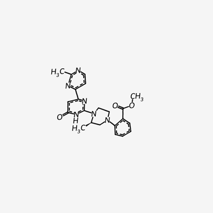 COC(=O)c1ccccc1N1CCN(c2nc(-c3ccnc(C)n3)cc(=O)[nH]2)[C@H](C)C1